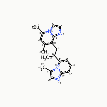 Cc1cc(C(C)(C)C)n2ccnc2c1CC(C)c1cccc2ncc(C)n12